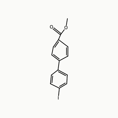 COC(=O)c1ccc(-c2ccc(I)cc2)cc1